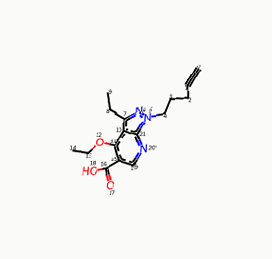 C#CCCCn1nc(CC)c2c(OCC)c(C(=O)O)cnc21